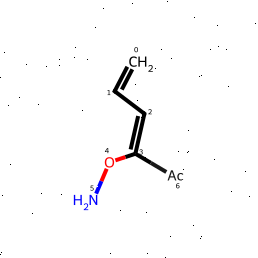 C=C/C=C(\ON)C(C)=O